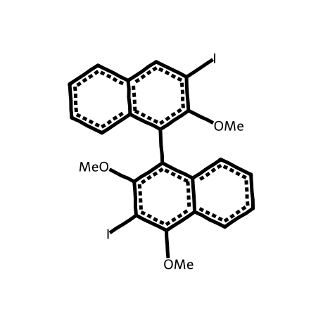 COc1c(I)cc2ccccc2c1-c1c(OC)c(I)c(OC)c2ccccc12